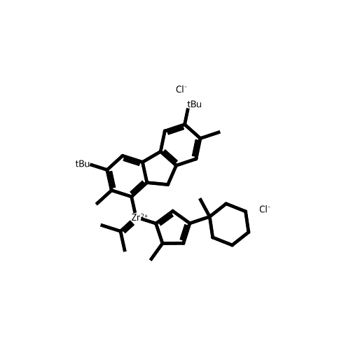 C[C](C)=[Zr+2]([C]1=CC(C2(C)CCCCC2)=CC1C)[c]1c(C)c(C(C)(C)C)cc2c1Cc1cc(C)c(C(C)(C)C)cc1-2.[Cl-].[Cl-]